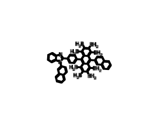 Bc1c(B)c(B)c2c(-c3ccc4ccccc4c3)c3c(B)c(B)c(B)c(B)c3c(-c3ccc(-c4nc5ccccc5n4-c4ccc5ccccc5c4)cc3)c2c1B